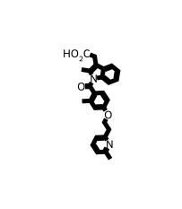 Cc1cccc(CCOc2ccc(C(=O)n3c(C)c(CC(=O)O)c4ccccc43)c(C)c2)n1